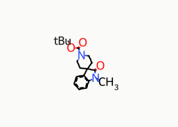 CN1C(=O)C2(CCN(C(=O)OC(C)(C)C)CC2)c2ccccc21